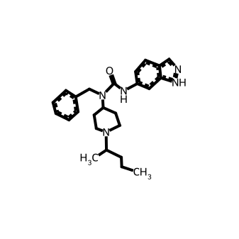 CCCC(C)N1CCC(N(Cc2ccccc2)C(=O)Nc2ccc3cn[nH]c3c2)CC1